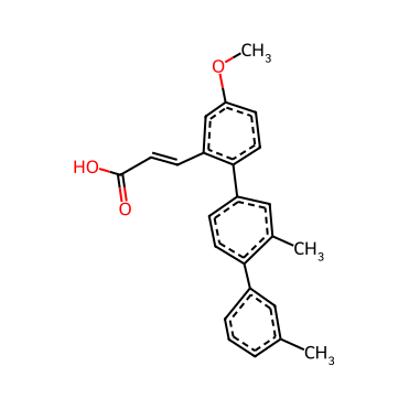 COc1ccc(-c2ccc(-c3cccc(C)c3)c(C)c2)c(/C=C/C(=O)O)c1